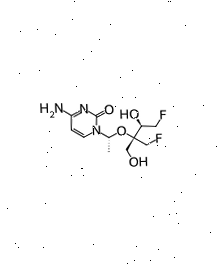 C[C@@H](O[C@@](CO)(CF)[C@@H](O)CF)n1ccc(N)nc1=O